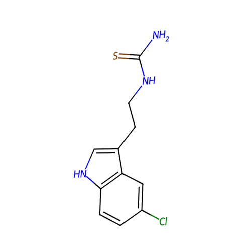 NC(=S)NCCc1c[nH]c2ccc(Cl)cc12